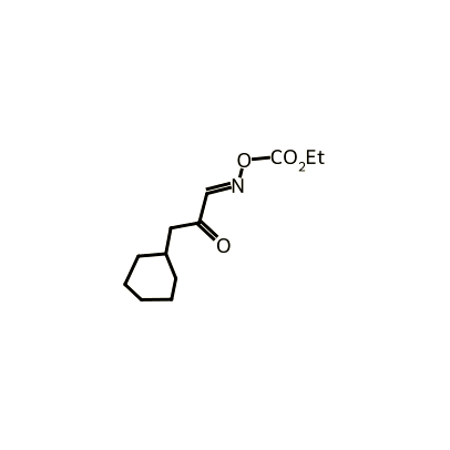 CCOC(=O)ON=CC(=O)CC1CCCCC1